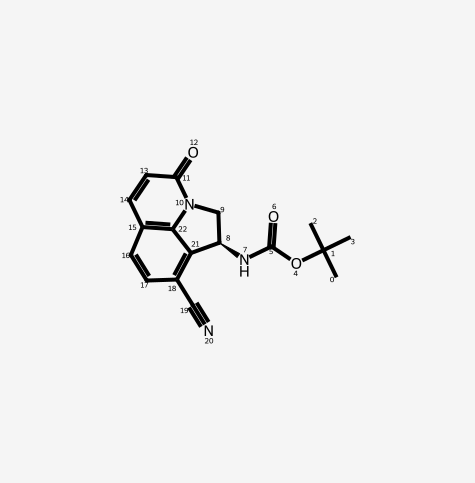 CC(C)(C)OC(=O)N[C@@H]1Cn2c(=O)ccc3ccc(C#N)c1c32